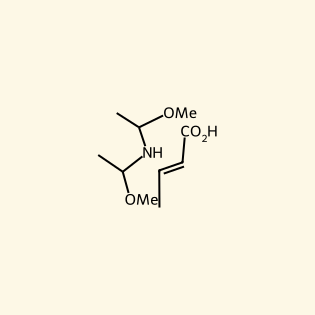 CC=CC(=O)O.COC(C)NC(C)OC